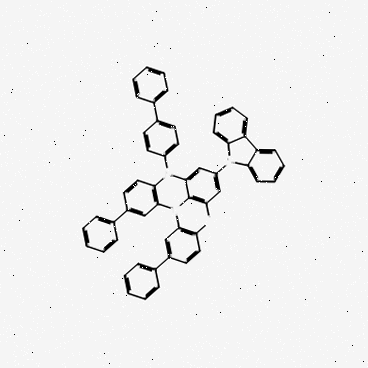 c1ccc(-c2ccc(N3c4ccc(-c5ccccc5)cc4B4c5cc(-c6ccccc6)ccc5Sc5cc(-n6c7ccccc7c7ccccc76)cc3c54)cc2)cc1